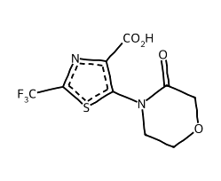 O=C(O)c1nc(C(F)(F)F)sc1N1CCOCC1=O